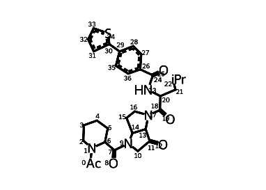 CC(=O)N1CCCCC1C(=O)N1CC(=O)C2C1CCN2C(=O)C(CC(C)C)NC(=O)c1ccc(-c2cccs2)cc1